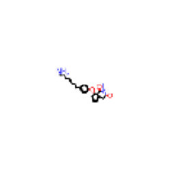 NCCCCCCCc1ccc(Oc2cccc3c2C(=O)NC(=O)C3)cc1